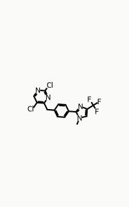 Cn1cc(C(F)(F)F)nc1-c1ccc(Cc2nc(Cl)ncc2Cl)cc1